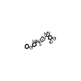 COc1cc2ncnc(N3CCN(C(=S)Nc4ccc(Oc5ccccc5)cc4)CC3)c2cc1OC